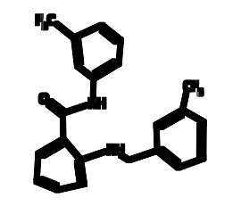 O=C(Nc1cccc(C(F)(F)F)c1)c1ccccc1NCc1cccc(C(F)(F)F)c1